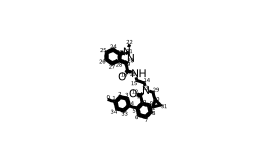 Cc1ccc(-c2ccccc2C(=O)N(CCNC(=O)c2nn(C)c3ccccc23)CC2CC2)cc1